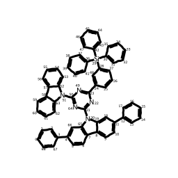 c1ccc(-c2ccc3c4ccc(-c5ccccc5)cc4n(-c4nc(-c5cccc([Si](c6ccccc6)(c6ccccc6)c6ccccc6)c5)nc(-n5c6ccccc6c6ccccc65)n4)c3c2)cc1